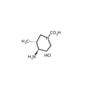 C[C@@H]1CN(C(=O)O)CC[C@H]1N.Cl